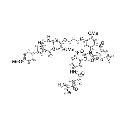 COc1ccc(C2=CN3C(=O)c4cc(OC)c(OCCCOc5cc6c(cc5OC)C(=O)N5CC7(CC7)C[C@H]5C(O)N6C(=O)OCc5ccc(NC(=O)C(C)NC(=O)[C@H](N)C(C)C)cc5)cc4NC[C@H]3C2)cc1